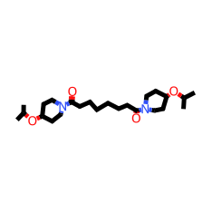 CC(C)OC1CCN(C(=O)CCCCCCC(=O)N2CCC(OC(C)C)CC2)CC1